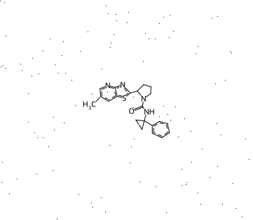 Cc1cnc2nc(C3CCCN3C(=O)NC3(c4ccccc4)CC3)sc2c1